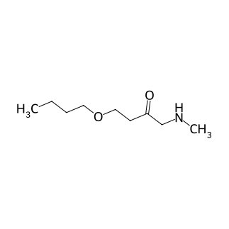 CCCCOCCC(=O)CNC